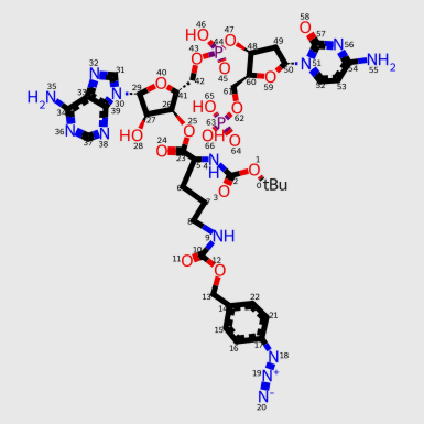 CC(C)(C)OC(=O)NC(CCCNC(=O)OCc1ccc(N=[N+]=[N-])cc1)C(=O)O[C@H]1[C@@H](O)[C@H](n2cnc3c(N)ncnc32)O[C@@H]1COP(=O)(O)O[C@H]1C[C@H](n2ccc(N)nc2=O)O[C@H]1COP(=O)(O)O